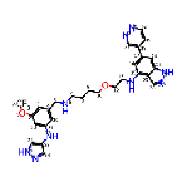 FC(F)(F)Oc1cc(CNCCCCOCCNc2cc(-c3ccnnc3)cc3[nH]ncc23)cc(Nc2cn[nH]c2)c1